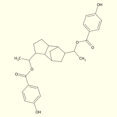 CC(OC(=O)c1ccc(O)cc1)C1CC2CC1C1CCC(C(C)OC(=O)c3ccc(O)cc3)C21